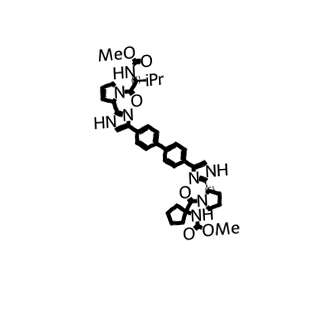 COC(=O)N[C@H](C(=O)N1CC=CC1c1nc(-c2ccc(-c3ccc(-c4c[nH]c([C@@H]5CCCN5C(=O)C5(NC(=O)OC)CCCC5)n4)cc3)cc2)c[nH]1)C(C)C